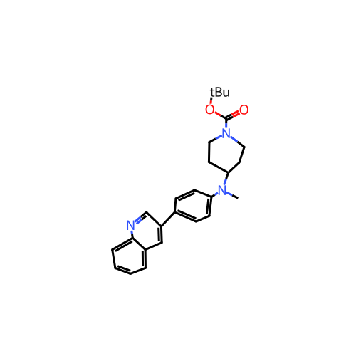 CN(c1ccc(-c2cnc3ccccc3c2)cc1)C1CCN(C(=O)OC(C)(C)C)CC1